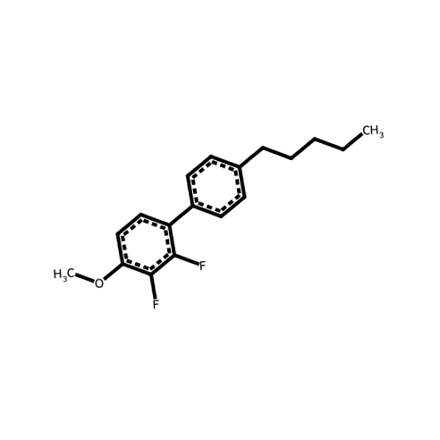 CCCCCc1ccc(-c2ccc(OC)c(F)c2F)cc1